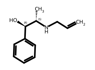 C=CCN[C@@H](C)[C@H](O)c1ccccc1